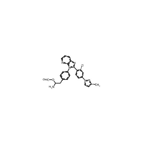 Cc1ccn(-c2ccc(-c3nc4cccnc4n3-c3ccc(CC(N)OC=O)cc3)c(Cl)c2)n1